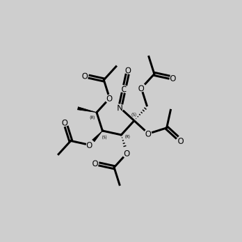 CC(=O)OC[C@](N=C=O)(OC(C)=O)[C@H](OC(C)=O)[C@@H](OC(C)=O)[C@@H](C)OC(C)=O